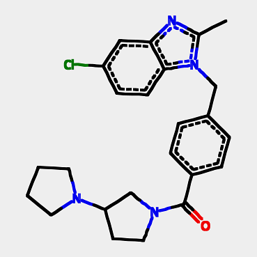 Cc1nc2cc(Cl)ccc2n1Cc1ccc(C(=O)N2CCC(N3CCCC3)C2)cc1